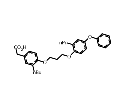 CCCCc1cc(CC(=O)O)ccc1OCCCOc1ccc(Oc2ccccc2)cc1CCC